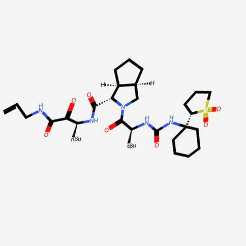 C=CCNC(=O)C(=O)[C@H](CCCC)NC(=O)[C@@H]1[C@H]2CCC[C@H]2CN1C(=O)[C@@H](NC(=O)NC1([C@@H]2CCCS2(=O)=O)CCCCC1)C(C)(C)C